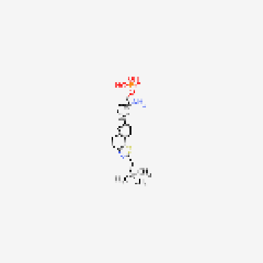 CC(C)(C)CCc1nc2c(s1)-c1ccc([C@H]3CC[C@](N)(COP(=O)(O)O)C3)cc1CC2